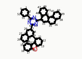 c1ccc(-c2nc(-c3cc(-c4cccc5oc6ccccc6c45)c4ccccc4c3)nc(-c3cc4ccc5ccccc5c4c4ccccc34)n2)cc1